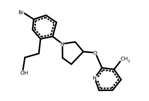 Cc1cccnc1OC1CCN(c2ccc(Br)cc2CCO)C1